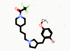 COc1ccc(Br)c(CC2CCN(CCCC3CCN(C(=O)C(F)(F)F)CC3)C2)c1